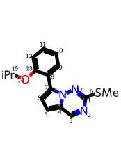 CSc1ncc2ccc(-c3ccccc3OC(C)C)n2n1